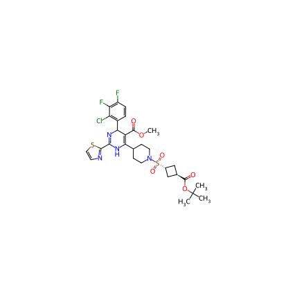 COC(=O)C1=C(C2CCN(S(=O)(=O)[C@H]3C[C@H](C(=O)OC(C)(C)C)C3)CC2)NC(c2nccs2)=NC1c1ccc(F)c(F)c1Cl